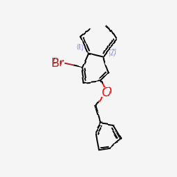 C/C=c1/cc(OCc2ccccc2)cc(Br)/c1=C/C